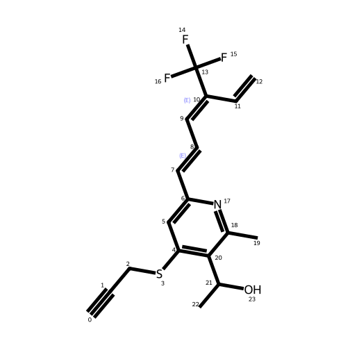 C#CCSc1cc(/C=C/C=C(\C=C)C(F)(F)F)nc(C)c1C(C)O